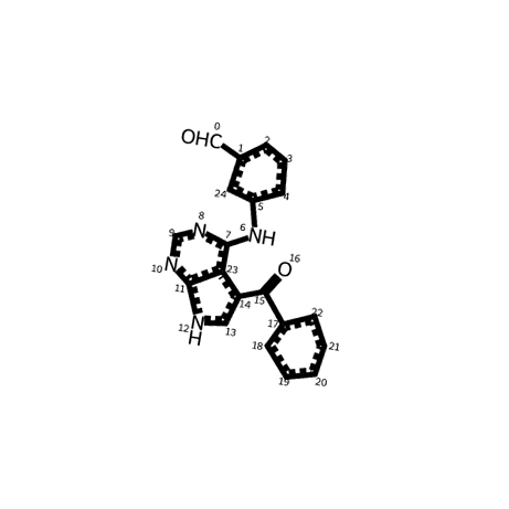 O=Cc1cccc(Nc2ncnc3[nH]cc(C(=O)c4ccccc4)c23)c1